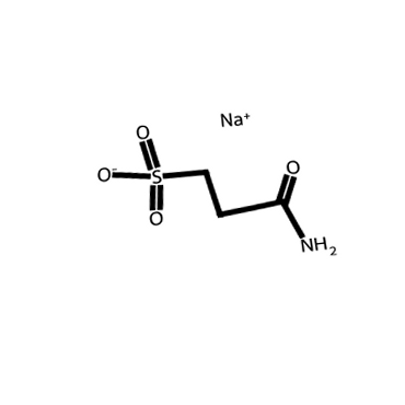 NC(=O)CCS(=O)(=O)[O-].[Na+]